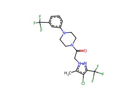 Cc1c(Cl)c(C(F)(F)F)nn1CC(=O)N1CCN(c2cccc(C(F)(F)F)c2)CC1